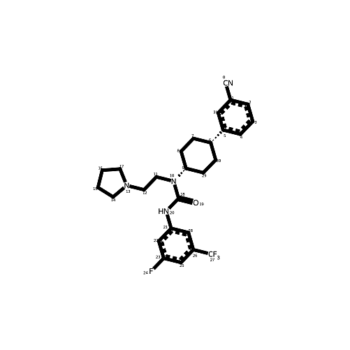 N#Cc1cccc([C@H]2CC[C@@H](N(CCN3CCCC3)C(=O)Nc3cc(F)cc(C(F)(F)F)c3)CC2)c1